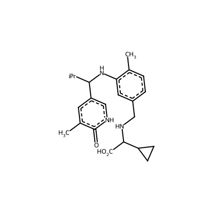 Cc1ccc(CNC(C(=O)O)C2CC2)cc1NC(c1c[nH]c(=O)c(C)c1)C(C)C